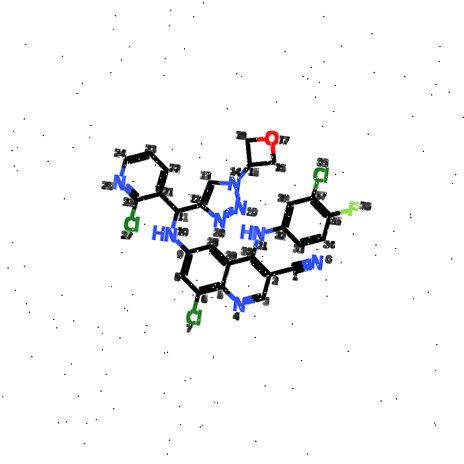 N#Cc1cnc2c(Cl)cc(NC(c3cn(C4COC4)nn3)c3cccnc3Cl)cc2c1Nc1ccc(F)c(Cl)c1